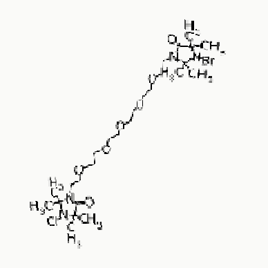 CC1(C)C(=O)N(CCOCCOCCOCCOCCOCCN2C(=O)C(C)(C)N(Br)C2(C)C)C(C)(C)N1Cl